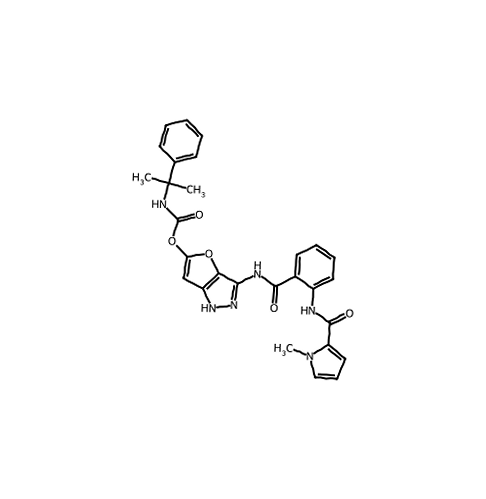 Cn1cccc1C(=O)Nc1ccccc1C(=O)Nc1n[nH]c2cc(OC(=O)NC(C)(C)c3ccccc3)oc12